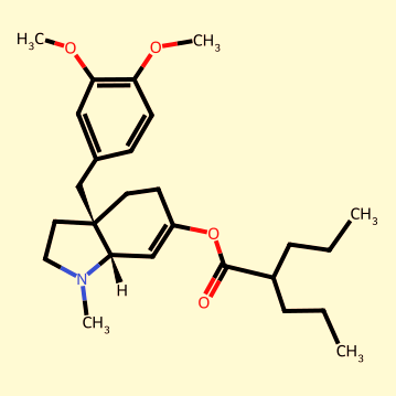 CCCC(CCC)C(=O)OC1=C[C@@H]2N(C)CC[C@]2(Cc2ccc(OC)c(OC)c2)CC1